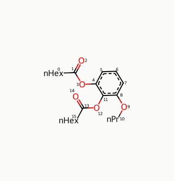 CCCCCCC(=O)Oc1cccc(OCCC)c1OC(=O)CCCCCC